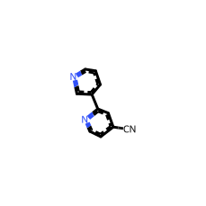 N#Cc1ccnc(-c2cccnc2)c1